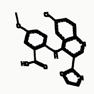 COc1ccc(Nc2c(-c3ncco3)cnc3ccc(Cl)cc23)c(C(=O)O)c1